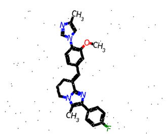 COc1cc(/C=C2\CCCn3c2nc(-c2ccc(F)cc2)c3C)ccc1-n1cnc(C)c1